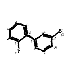 Fc1ccccc1-c1cccc(Br)c1